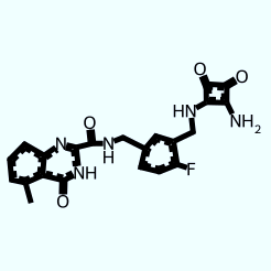 Cc1cccc2nc(C(=O)NCc3ccc(F)c(CNc4c(N)c(=O)c4=O)c3)[nH]c(=O)c12